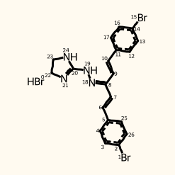 Br.Brc1ccc(C=CC(C=Cc2ccc(Br)cc2)=NNC2=NCCN2)cc1